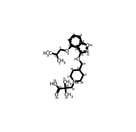 CC(C)COc1cccc2onc(OCC3CCN(CC(C)(C)C(=O)O)CC3)c12